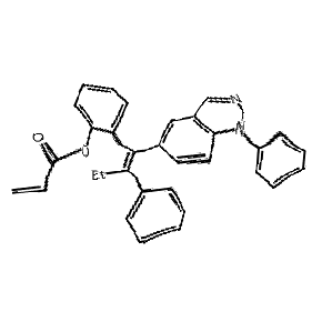 C=CC(=O)Oc1ccccc1/C(=C(\CC)c1ccccc1)c1ccc2c(cnn2-c2ccccc2)c1